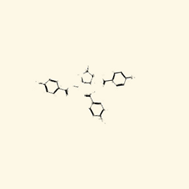 O=C(OC[C@H]1OC(O)[C@H](OC(=O)c2ccc([N+](=O)[O-])cc2)[C@@H]1OC(=O)c1ccc([N+](=O)[O-])cc1)c1ccc([N+](=O)[O-])cc1